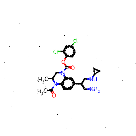 CC(=O)N1c2ccc(C(CN)CNC3CC3)cc2N(C(=O)Oc2ccc(Cl)cc2Cl)C[C@@H]1C